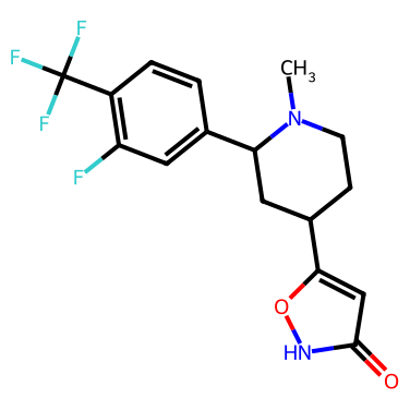 CN1CCC(c2cc(=O)[nH]o2)CC1c1ccc(C(F)(F)F)c(F)c1